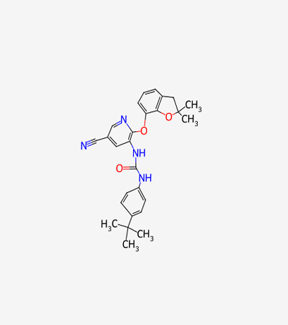 CC1(C)Cc2cccc(Oc3ncc(C#N)cc3NC(=O)Nc3ccc(C(C)(C)C)cc3)c2O1